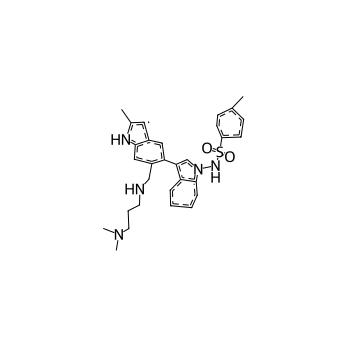 Cc1ccc(S(=O)(=O)Nn2cc(-c3cc4[c]c(C)[nH]c4cc3CNCCCN(C)C)c3ccccc32)cc1